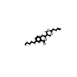 C=CCCC1OCC(C2Cc3ccc(CCCCC)cc3C(=O)O2)CO1